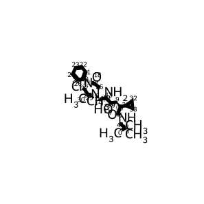 CC(C)(C)CNC(=O)[C@@H](C[C@H](O)[C@@H](N)CN1CC(=O)N(c2ccccc2Cl)CC1(C)C)C1CC1